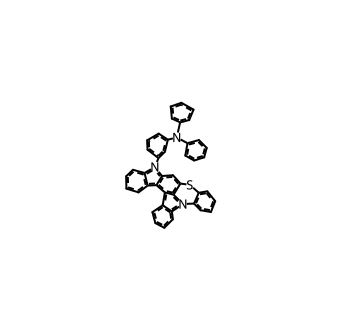 c1ccc(N(c2ccccc2)c2cccc(-n3c4ccccc4c4c5c6ccccc6n6c5c(cc43)Sc3ccccc3-6)c2)cc1